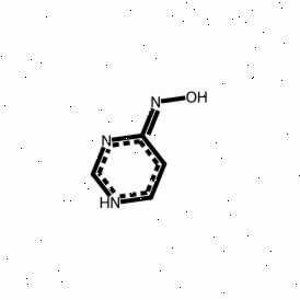 O/N=c1\cc[nH]cn1